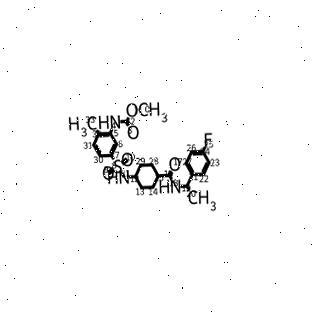 COC(=O)Nc1cc(S(=O)(=O)NC2CCC(C(=O)NC(C)c3ccc(F)cc3)CC2)ccc1C